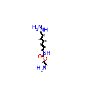 NCCOC(=O)NCC=CCCCCNN